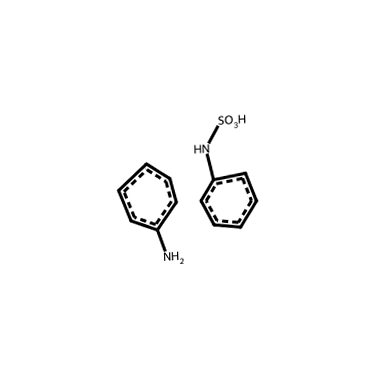 Nc1ccccc1.O=S(=O)(O)Nc1ccccc1